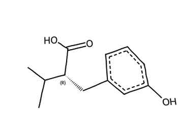 CC(C)[C@@H](Cc1cccc(O)c1)C(=O)O